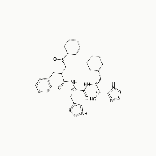 O=C(N[C@@H](Cc1c[nH]cn1)C(=O)N[C@@H](CC1CCCCC1)[C@@H](O)c1ncc[nH]1)C(Cc1ccccc1)C[S+]([O-])C1CCCCC1